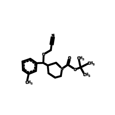 Cc1cccc(C(OCC#N)C2CCCN(C(=O)OC(C)(C)C)C2)c1